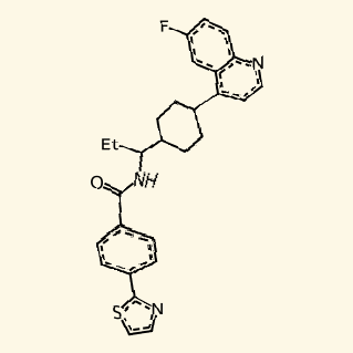 CCC(NC(=O)c1ccc(-c2nccs2)cc1)C1CCC(c2ccnc3ccc(F)cc23)CC1